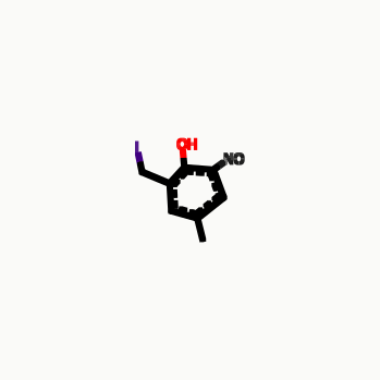 Cc1cc(CI)c(O)c(N=O)c1